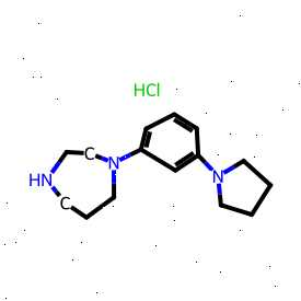 Cl.c1cc(N2CCCC2)cc(N2CCCNCC2)c1